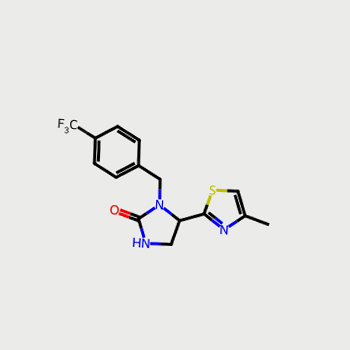 Cc1csc(C2CNC(=O)N2Cc2ccc(C(F)(F)F)cc2)n1